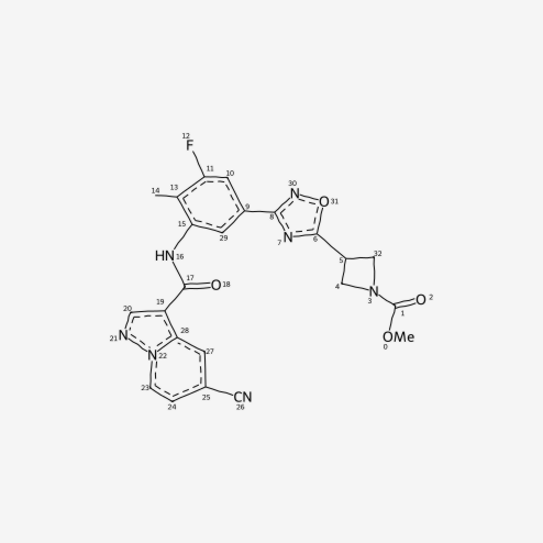 COC(=O)N1CC(c2nc(-c3cc(F)c(C)c(NC(=O)c4cnn5ccc(C#N)cc45)c3)no2)C1